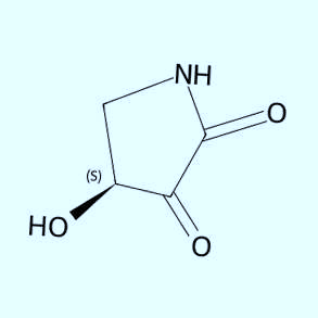 O=C1NC[C@H](O)C1=O